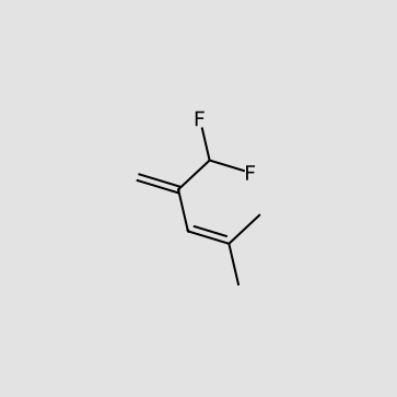 C=C(C=C(C)C)C(F)F